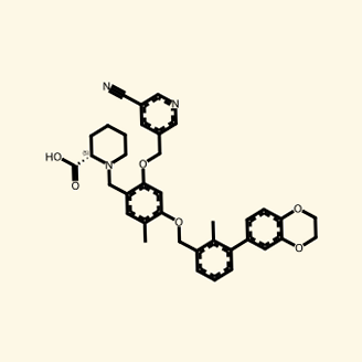 Cc1cc(CN2CCCC[C@H]2C(=O)O)c(OCc2cncc(C#N)c2)cc1OCc1cccc(-c2ccc3c(c2)OCCO3)c1C